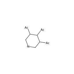 CC(=O)C1C[N]CC(C(C)=O)C1C(C)=O